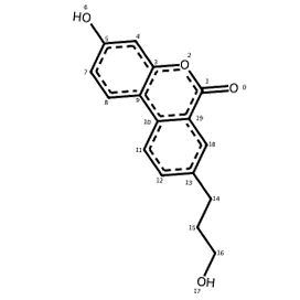 O=c1oc2cc(O)ccc2c2ccc(CCCO)cc12